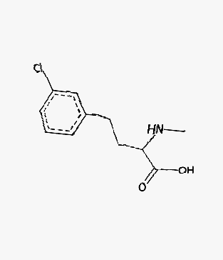 CNC(CCc1cccc(Cl)c1)C(=O)O